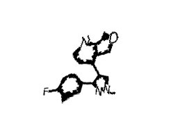 Cn1cc(-c2ccnc3cocc23)c(-c2ccc(F)cc2)n1